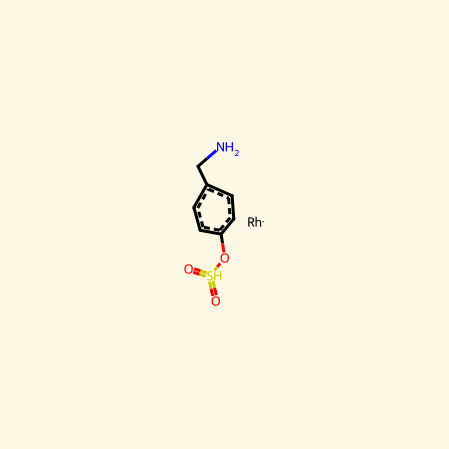 NCc1ccc(O[SH](=O)=O)cc1.[Rh]